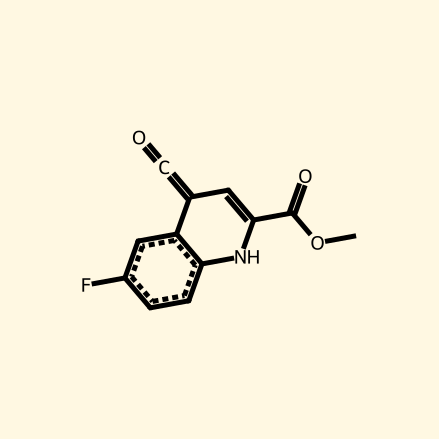 COC(=O)C1=CC(=C=O)c2cc(F)ccc2N1